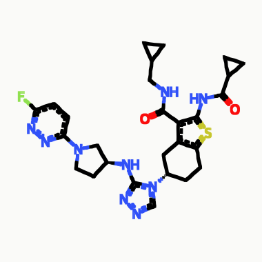 O=C(NCC1CC1)c1c(NC(=O)C2CC2)sc2c1C[C@@H](n1cnnc1N[C@H]1CCN(c3ccc(F)nn3)C1)CC2